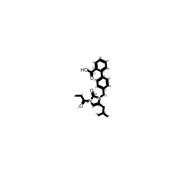 CCC(=O)n1cc(CC(C)C)n(Cc2ccc(-c3ccccc3C(=O)O)cc2)c1=O